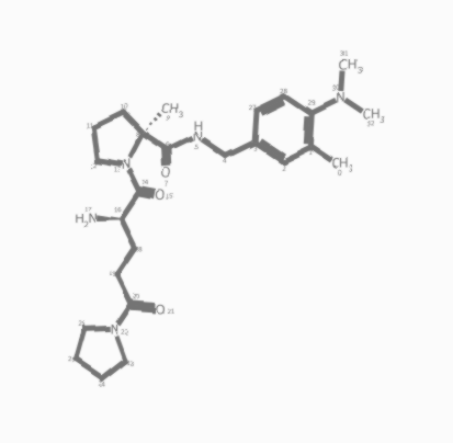 Cc1cc(CNC(=O)[C@]2(C)CCCN2C(=O)[C@H](N)CCC(=O)N2CCCC2)ccc1N(C)C